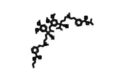 CCCOC(=O)c1cccc(CCN(C)CCCC(C#N)(c2ccc(OC)c(OC)c2)C(C)Cc2cc(C(C#N)(CCCN(C)CCc3cccc(C(=O)OC(C)C)c3)C(C)C)cc(OC)c2OC)c1